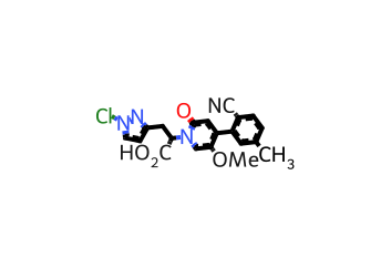 COc1cn(C(Cc2ccn(Cl)n2)C(=O)O)c(=O)cc1-c1cc(C)ccc1C#N